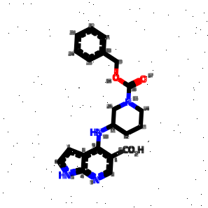 O=C(O)c1cnc2[nH]ccc2c1NC1CCCN(C(=O)OCc2ccccc2)C1